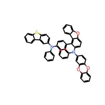 c1ccc(N(c2ccc(-c3c(N(c4ccccc4)c4ccc5c(c4)Oc4ccccc4O5)ccc4oc5ccccc5c34)cc2)c2ccc3sc4ccccc4c3c2)cc1